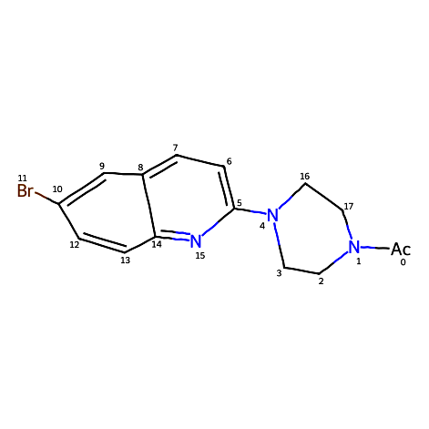 CC(=O)N1CCN(c2ccc3cc(Br)ccc3n2)CC1